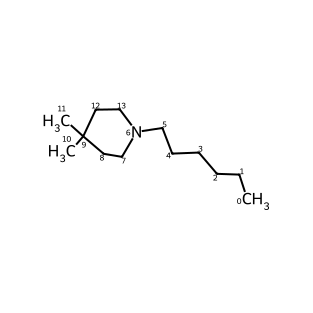 CCCCCCN1CCC(C)(C)CC1